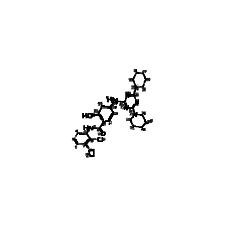 O=C(Nc1cccc(Cl)c1Cl)c1ccc(Nc2nc(N3CCCCC3)nc(N3CCCCC3)n2)cc1O